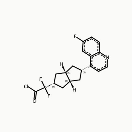 O=C(Cl)C(F)(F)[C@H]1C[C@H]2C[C@@H](c3ccnc4ccc(F)cc34)C[C@H]2C1